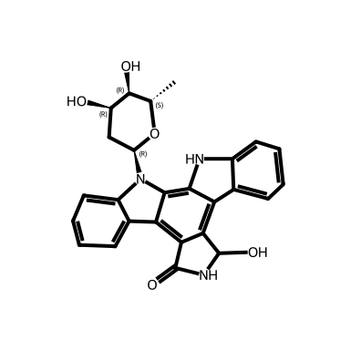 C[C@@H]1O[C@@H](n2c3ccccc3c3c4c(c5c6ccccc6[nH]c5c32)C(O)NC4=O)C[C@@H](O)[C@H]1O